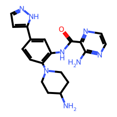 Nc1nccnc1C(=O)Nc1cc(-c2ccn[nH]2)ccc1N1CCC(N)CC1